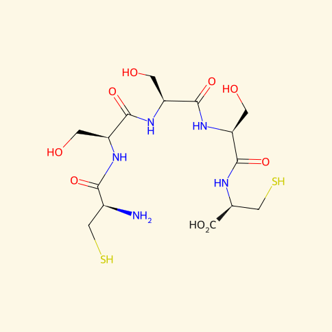 N[C@@H](CS)C(=O)N[C@@H](CO)C(=O)N[C@@H](CO)C(=O)N[C@@H](CO)C(=O)N[C@@H](CS)C(=O)O